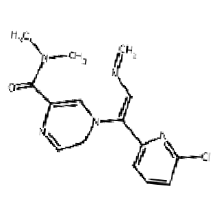 C=N/C=C(/c1cccc(Cl)n1)N1C=C(C(=O)N(C)C)N=CC1